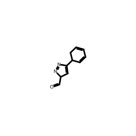 O=CC1C=C(C2C=CC=CC2)N=N1